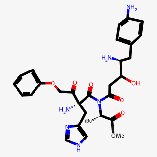 CCC(C)[C@@H](C(=O)OC)N(C(=O)CC(O)[C@@H](N)Cc1ccc(N)cc1)C(=O)[C@@](N)(Cc1c[nH]cn1)C(=O)COc1ccccc1